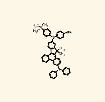 CC(C)(C)c1ccc(N(c2ccc([Si](C)(C)C)cc2)c2ccc3c(c2)C(C)(C)c2c-3c3ccccc3c3cc(N(c4ccccc4)c4ccccc4)ccc23)cc1